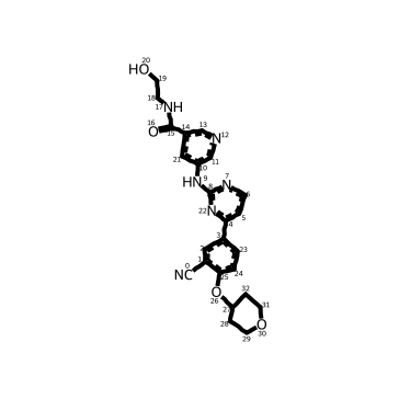 N#Cc1cc(-c2ccnc(Nc3cncc(C(=O)NCCO)c3)n2)ccc1OC1CCOCC1